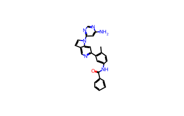 Cc1ccc(NC(=O)c2ccccc2)cc1-c1cc2c(ccn2-c2cc(N)ncn2)cn1